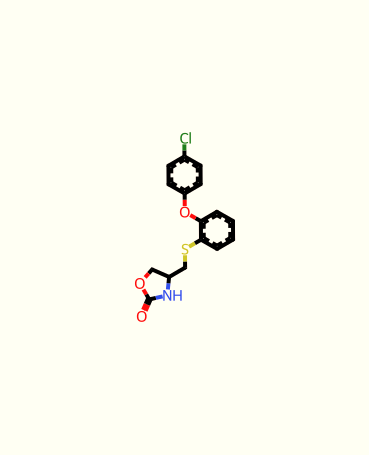 O=C1NC(CSc2ccccc2Oc2ccc(Cl)cc2)CO1